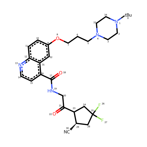 CC(C)(C)N1CCN(CCCOc2ccc3nccc(C(=O)NCC(=O)C4CC(F)(F)C[C@H]4C#N)c3c2)CC1